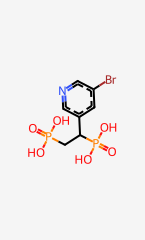 O=P(O)(O)CC(c1cncc(Br)c1)P(=O)(O)O